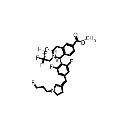 COC(=O)c1ccc2c(c1)C[C@@H](C)N(CC(F)(F)F)[C@@H]2c1c(F)cc(C=C2CCN(CCCF)C2)cc1F